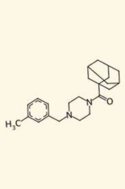 Cc1cccc(CN2CCN(C(=O)C34CC5CC(CC(C5)C3)C4)CC2)c1